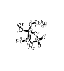 CCO[PH](OCC)(OCC)OS(N)(=O)=O.[Ag]